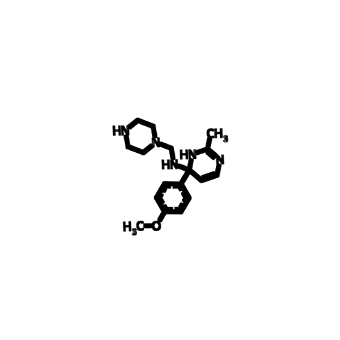 COc1ccc(C2(NCN3CCNCC3)C=CN=C(C)N2)cc1